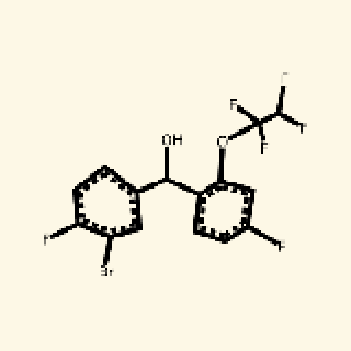 OC(c1ccc(F)c(Br)c1)c1ccc(F)cc1OC(F)(F)C(F)F